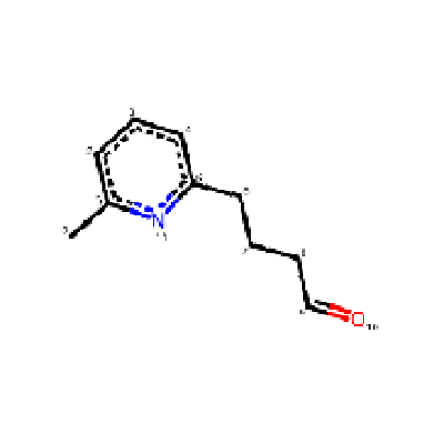 Cc1cccc(CCCC=O)n1